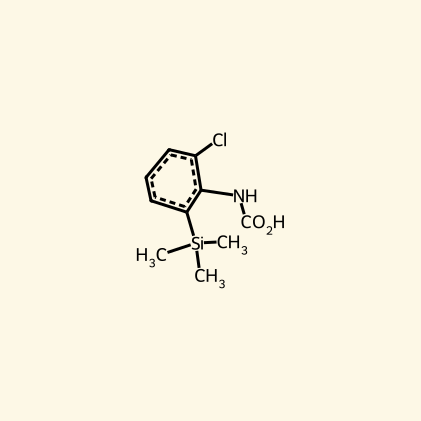 C[Si](C)(C)c1cccc(Cl)c1NC(=O)O